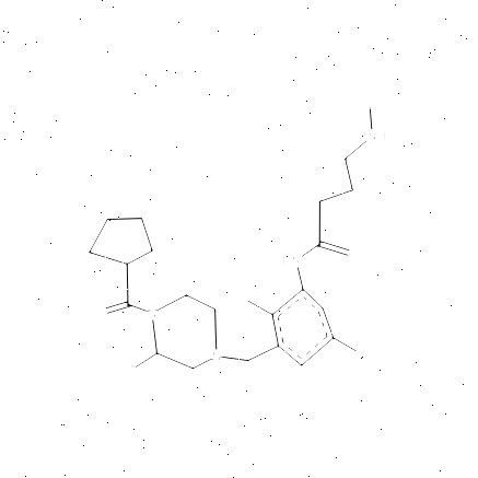 CNCCCC(=O)Nc1cc(Cl)cc(CN2CCN(C(=O)C3CCCC3)C(C)C2)c1C